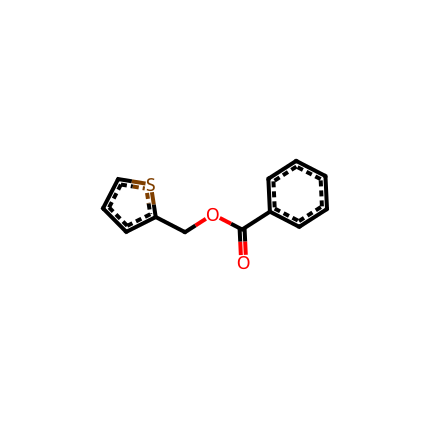 O=C(OCc1cccs1)c1ccccc1